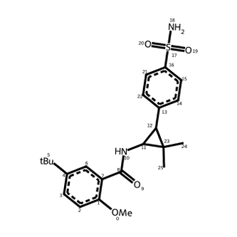 COc1ccc(C(C)(C)C)cc1C(=O)NC1C(c2ccc(S(N)(=O)=O)cc2)C1(C)C